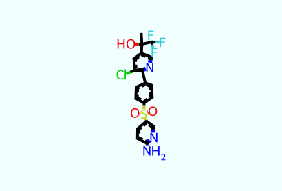 CC(O)(c1cnc(-c2ccc(S(=O)(=O)c3ccc(N)nc3)cc2)c(Cl)c1)C(F)(F)F